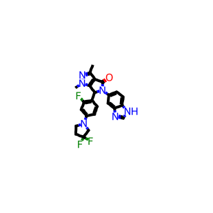 Cc1nn(C)c2c1C(=O)N(c1ccc3[nH]cnc3c1)C2c1ccc(N2CCC(F)(F)C2)cc1F